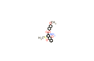 CCSc1cc(C(=O)OC2CCC3CC(OC)CCC3C2)c(N)c2c1C(=O)c1ccccc1C2=O